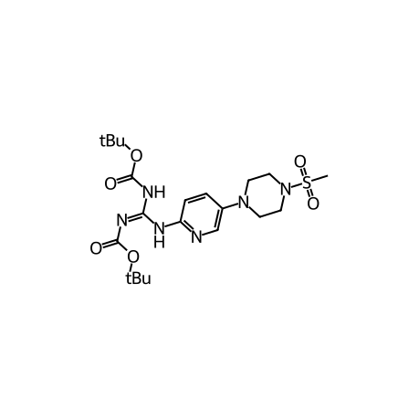 CC(C)(C)OC(=O)N=C(NC(=O)OC(C)(C)C)Nc1ccc(N2CCN(S(C)(=O)=O)CC2)cn1